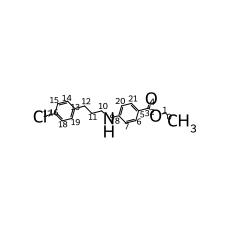 CCOC(=O)c1ccc(NCCCc2ccc(Cl)cc2)cc1